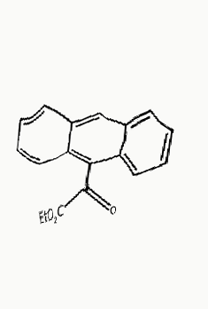 CCOC(=O)C(=O)c1c2ccccc2cc2ccccc12